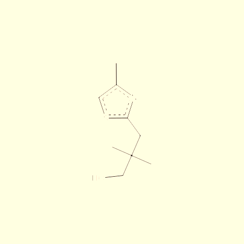 Cc1csc(CC(C)(C)CO)n1